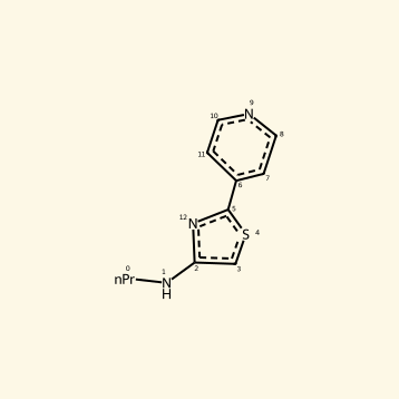 CCCNc1csc(-c2ccncc2)n1